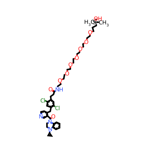 C[Si](C)(O)CCCOCCOCCOCCOCCOCCOCCOCCNC(=O)CCc1cc(Cl)c(Cc2ccncc2C(=O)N2CCN(C3CC3)c3ccccc32)cc1Cl